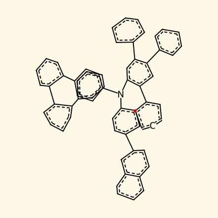 c1ccc(-c2cc(-c3ccccc3)c(N(c3ccc(-c4ccc5ccccc5c4)cc3)c3ccc(-c4ccccc4-c4ccccc4-c4ccccc4)cc3)cc2-c2ccccc2)cc1